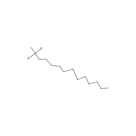 CCCCCCCCCCCC[Si](C)(F)F